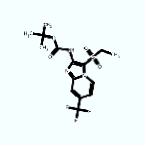 CCS(=O)(=O)c1c(NC(=O)OC(C)(C)C)nc2cc(C(F)(F)F)ccn12